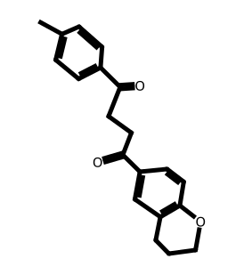 Cc1ccc(C(=O)CCC(=O)c2ccc3c(c2)CCCO3)cc1